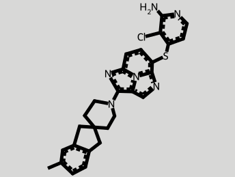 Cc1ccc2c(c1)CC1(CCN(c3nc4ccc(Sc5ccnc(N)c5Cl)c5ncc3n45)CC1)C2